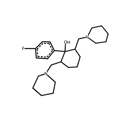 OC1(c2ccc(F)cc2)C(CN2CCCCC2)CCCC1CN1CCCCC1